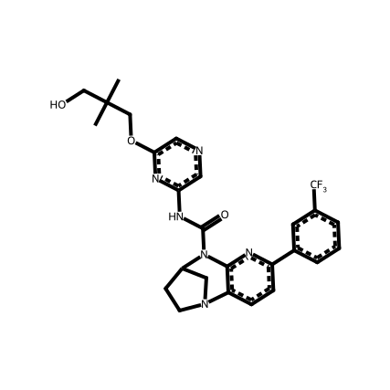 CC(C)(CO)COc1cncc(NC(=O)N2c3nc(-c4cccc(C(F)(F)F)c4)ccc3N3CCC2C3)n1